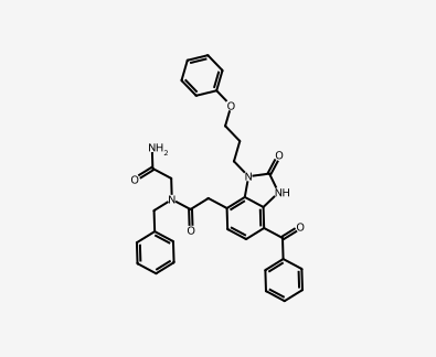 NC(=O)CN(Cc1ccccc1)C(=O)Cc1ccc(C(=O)c2ccccc2)c2[nH]c(=O)n(CCCOc3ccccc3)c12